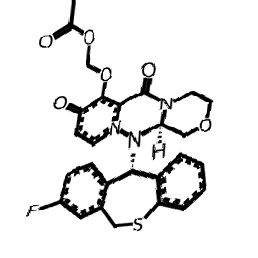 CC(=O)OCOc1c2n(ccc1=O)N([C@H]1c3ccc(F)cc3CSc3ccccc31)[C@@H]1COCCN1C2=O